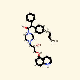 O=C(C(c1ccccc1)c1ccccc1)N1CCN(C[C@H](O)COc2cccc3ncccc23)CC1.O=C(O)/C=C/C(=O)O